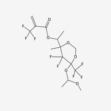 C=C(C(=O)OC(C)C1(C)OCOC(OC(C)OC)(C(F)(F)F)C1(F)F)C(F)(F)F